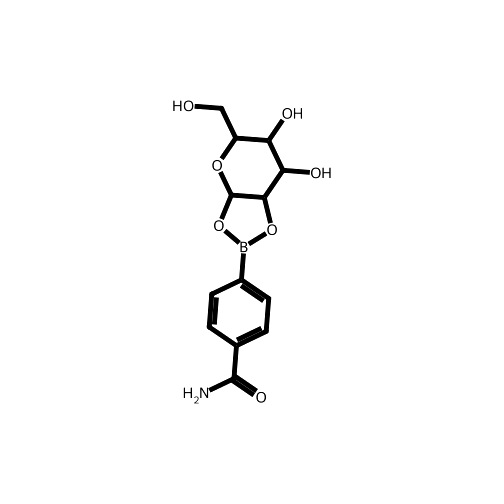 NC(=O)c1ccc(B2OC3OC(CO)C(O)C(O)C3O2)cc1